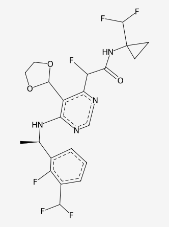 C[C@@H](Nc1ncnc(C(F)C(=O)NC2(C(F)F)CC2)c1C1OCCO1)c1cccc(C(F)F)c1F